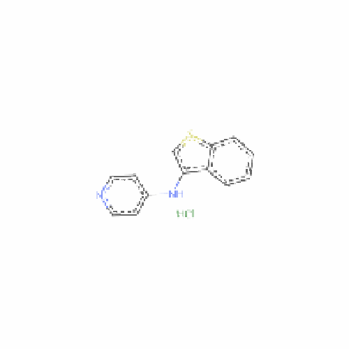 Cl.c1ccc2c(Nc3ccncc3)csc2c1